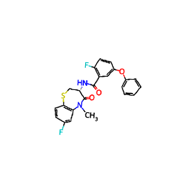 CN1C(=O)[C@@H](NC(=O)c2cc(Oc3ccccc3)ccc2F)CSc2ccc(F)cc21